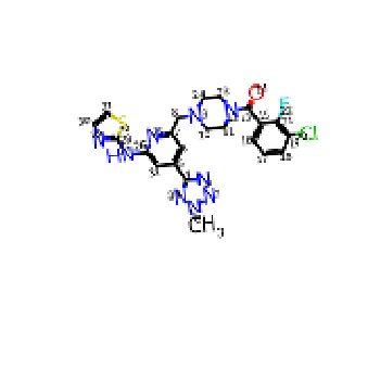 Cn1nnc(-c2cc(CN3CCN(C(=O)c4cccc(Cl)c4F)CC3)nc(Nc3nccs3)c2)n1